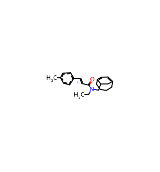 CCN(CC1CC2=CC=C1CCCC2)C(=O)/C=C/c1ccc(C)cc1